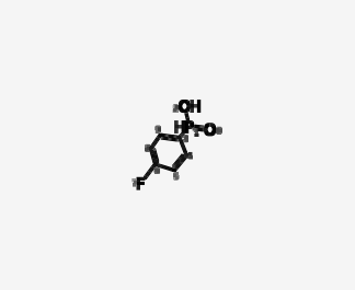 O=[PH](O)c1ccc(F)cc1